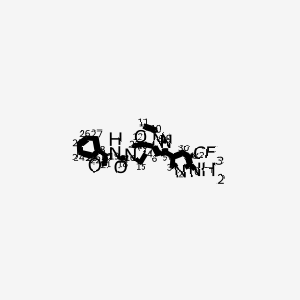 Nc1ncc(-c2cc3n(n2)CCO[C@@]32CCN(C(=O)N[C@@H]3COc4ccccc43)C2)cc1C(F)(F)F